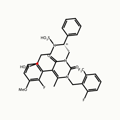 COc1cccc(-c2c(C)n(Cc3c(F)cccc3C(F)(F)F)c(=O)n(C[C@@H](c3ccccc3)N(CCCC(=O)O)S(=O)(=O)O)c2=O)c1F